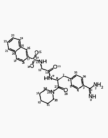 N=C(N)c1ccc(CC(NC(=O)CNS(=O)(=O)c2ccc3ccccc3c2)C(=O)N2CCCCC2)cc1